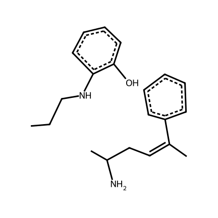 C/C(=C/CC(C)N)c1ccccc1.CCCNc1ccccc1O